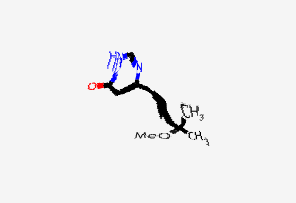 COC(C)(C)C#Cc1cc(=O)[nH]cn1